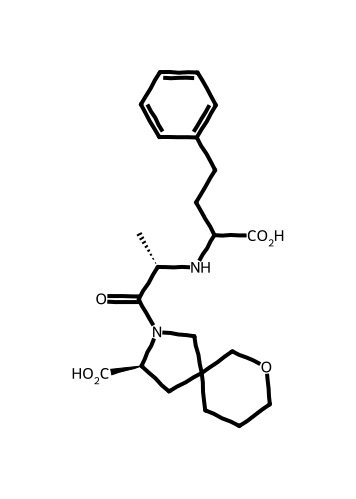 C[C@H](NC(CCc1ccccc1)C(=O)O)C(=O)N1CC2(CCCOC2)C[C@H]1C(=O)O